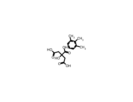 Cc1cccc(C)c1C.O=C(O)CC(O)(CC(=O)O)C(=O)O